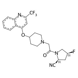 N#C[C@@H]1C[C@H](F)CN1C(=O)CN1CCC(Oc2cc(C(F)(F)F)nc3ccccc23)CC1